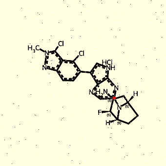 Cl.Cn1nc2ccc(-c3c[nH]c4nc(N5[C@H]6CC[C@@H]5[C@@H](F)[C@@H](N)C6)cnc34)c(Cl)c2c1Cl